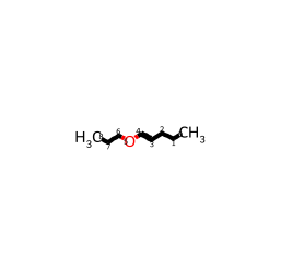 CCCC=COCCC